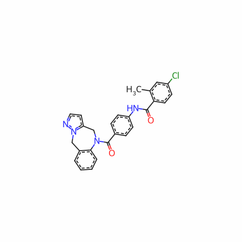 Cc1cc(Cl)ccc1C(=O)Nc1ccc(C(=O)N2Cc3ccnn3Cc3ccccc32)cc1